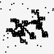 CCCCC[C@H](O)/C=C/[C@@H]1[C@H]2C/C(=C/CCCC(=O)O)O[C@H]2C[C@H]1O.CCCCC[C@H](O)/C=C/[C@H]1[C@H](O)CC(=O)[C@@H]1CCCCCCC(=O)O.CCCCC[C@](C)(O)/C=C/[C@@H]1[C@@H](C/C=C\CCCC(=O)O)[C@@H](O)C[C@H]1O